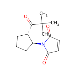 CC(C)(C)C(=O)[C@H]1CCC[C@@H]1N1C(=O)C=CC1=O